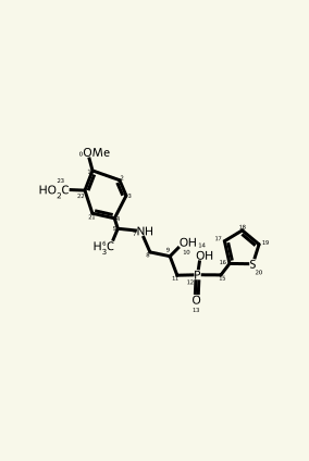 COc1ccc(C(C)NCC(O)CP(=O)(O)Cc2cccs2)cc1C(=O)O